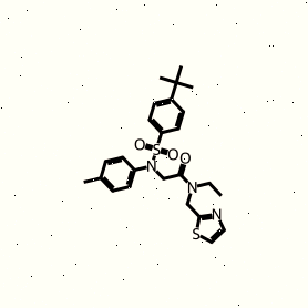 CCN(Cc1nccs1)C(=O)CN(c1ccc(C)cc1)S(=O)(=O)c1ccc(C(C)(C)C)cc1